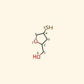 OCC1CC(S)CO1